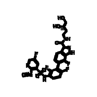 COc1ncc(F)cc1S(=O)(=O)Nc1ccc(F)c(-c2ccc3c(C(=O)NCC[C@@H](O)CO)n[nH]c3c2F)c1F